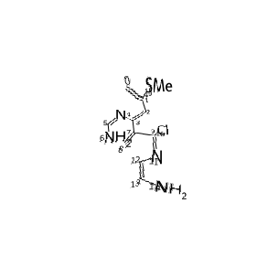 C=C(/C=C(\N=C/N)C(=C)/C(Cl)=N\C=C/N)SC